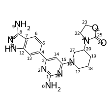 Nc1nc(-c2ccc3c(N)n[nH]c3c2)cc(N2CCCC(N3CCOC3=O)C2)n1